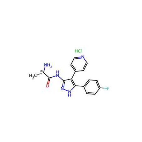 C[C@H](N)C(=O)Nc1n[nH]c(-c2ccc(F)cc2)c1-c1ccncc1.Cl